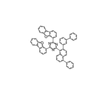 c1ccc(-c2cccc(-c3ccc4c(-c5ccccc5)cccc4c3-c3nc(-c4cccc5c4oc4ccccc45)nc(-c4cccc5c4oc4ccccc45)n3)c2)cc1